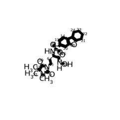 CN1C(=O)N(CC[C@H](NS(=O)(=O)c2ccc3c4c(oc3c2)CCCC4)C(=O)NO)C(=O)C1(C)C